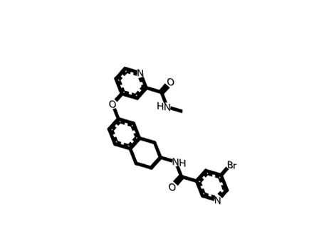 CNC(=O)c1cc(Oc2ccc3c(c2)CC(NC(=O)c2cncc(Br)c2)CC3)ccn1